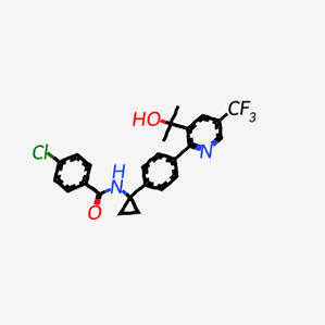 CC(C)(O)c1cc(C(F)(F)F)cnc1-c1ccc(C2(NC(=O)c3ccc(Cl)cc3)CC2)cc1